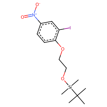 CC(C)(C)[Si](C)(C)OCCOc1ccc([N+](=O)[O-])cc1I